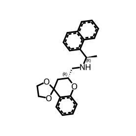 C[C@@H](NC[C@H]1CC2(OCCO2)c2ccccc2O1)c1cccc2ccccc12